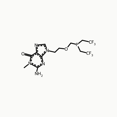 Cn1c(N)nc2c(ncn2CCOCP(CC(F)(F)F)CC(F)(F)F)c1=O